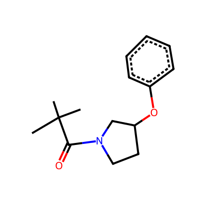 CC(C)(C)C(=O)N1CCC(Oc2ccccc2)C1